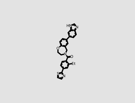 CCc1cc(-c2nccs2)ccc1C(=O)N1CCOc2ccc(-c3ccc4nc[nH]c4c3)cc2C1